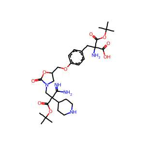 CC(C)(C)OC(=O)C(N)(Cc1ccc(OCC2CN(CC(C(=N)N)(C(=O)OC(C)(C)C)C3CCNCC3)C(=O)O2)cc1)C(=O)O